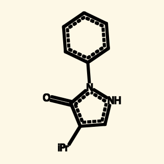 CC(C)c1c[nH]n(-c2ccccc2)c1=O